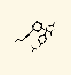 NC1=NC(c2ccc(OC(F)F)cc2)(c2cccc(C#CCCO)c2)C(=O)N1